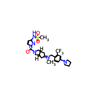 CN(Cc1ccc(N2CCCC2)cc1C(F)(F)F)[C@H]1C[C@@H]2CN(C(=O)n3ccc(NS(C)(=O)=O)n3)C[C@@H]2C1